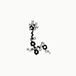 CC(C)[C@@H]1CC[C@@H](C)C[C@H]1OC(=O)Cn1c(-c2ccc(OC(=O)CCCC[C@H]3SC[C@H]4NC(=O)N[C@H]43)cc2)[n+](C)c2ccccc21